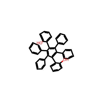 Oc1ccccc1-c1c(-c2ccccc2)c(-c2ccccc2)c(-c2ccccc2O)c(-c2ccccc2)c1-c1ccccc1